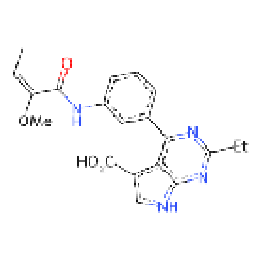 C/C=C(/OC)C(=O)Nc1cccc(-c2nc(CC)nc3[nH]cc(C(=O)O)c23)c1